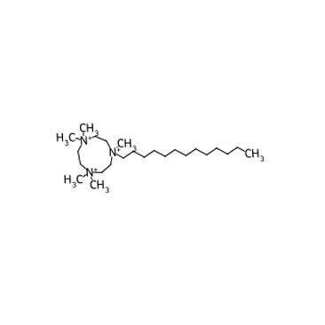 CCCCCCCCCCCCC[N+]1(C)CC[N+](C)(C)CC[N+](C)(C)CC1